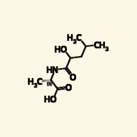 CC(C)CC(O)C(=O)N[C@@H](C)C(=O)O